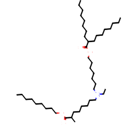 CCCCCCCCCOC(=O)C(C)CCCCCCN(CC)CCCCCCCOC(=O)C(CCCCCCCC)CCCCCCCC